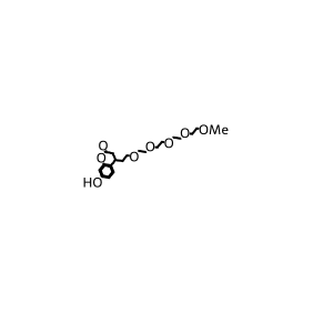 COCCOCCOCCOCCOCCC1CC(=O)Oc2cc(O)ccc21